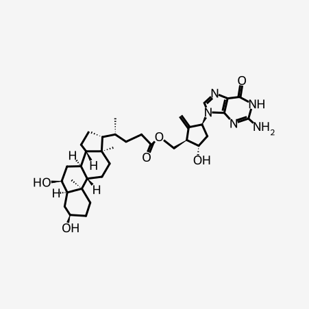 C=C1[C@H](COC(=O)CC[C@@H](C)[C@H]2CC[C@H]3[C@@H]4C[C@H](O)[C@@H]5C[C@H](O)CC[C@]5(C)[C@H]4CC[C@]23C)[C@@H](O)C[C@@H]1n1cnc2c(=O)[nH]c(N)nc21